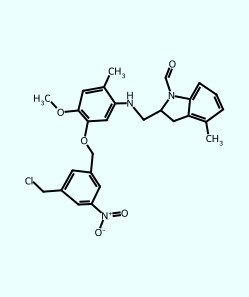 COc1cc(C)c(NCC2Cc3c(C)cccc3N2C=O)cc1OCc1cc(CCl)cc([N+](=O)[O-])c1